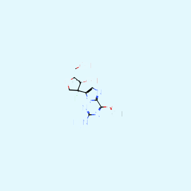 COc1nc(N)nn2c([C@@]3(F)CO[C@H](CO)[C@H]3O)cnc12